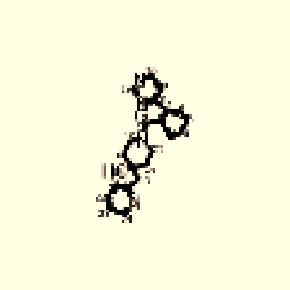 O=C(c1ccccc1-c1ccncn1)N1CCC(O)(Cc2ccccn2)CC1